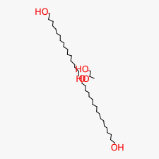 CC(O)CO.OCCCCCCCCCCCCCCCCCCOCCCCCCCCCCCCCCCCCCO